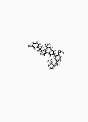 Cc1cnc(Nc2ccnn2C)nc1-c1cc2n(c1)C[C@H](C)n1c-2nnc1C(F)(F)c1cccc(F)c1